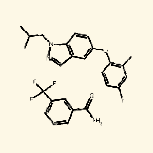 Cc1cc(F)ccc1Oc1ccc2c(cnn2CC(C)C)c1.NC(=O)c1cccc(C(F)(F)F)c1